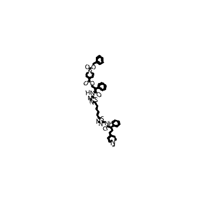 CN1CCC(CCC(C(=O)Nc2nnc(CCCCc3nnc(NC(=O)C(COC(=O)C4CCN(C(=O)OCc5ccccc5)CC4)c4ccccc4)s3)s2)c2ccccc2)CC1